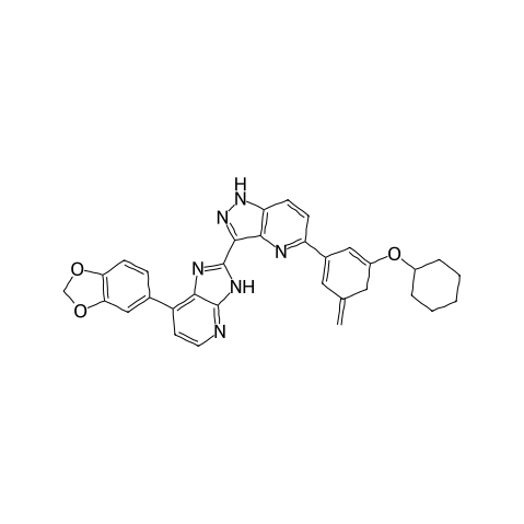 C=C1C=C(c2ccc3[nH]nc(-c4nc5c(-c6ccc7c(c6)OCO7)ccnc5[nH]4)c3n2)C=C(OC2CCCCC2)C1